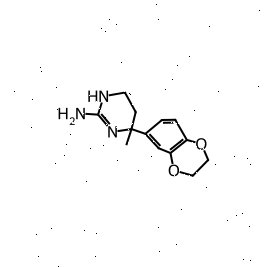 CC1(c2ccc3c(c2)OCCO3)CCNC(N)=N1